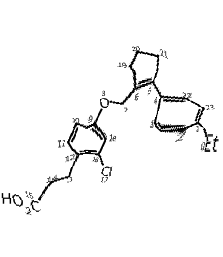 CCc1ccc(C2=C(COc3ccc(CCC(=O)O)c(Cl)c3)CCC2)cc1